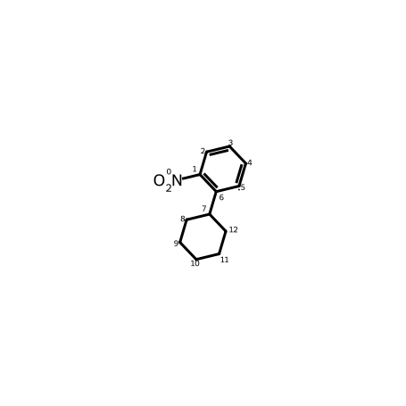 O=[N+]([O-])c1ccc[c]c1C1CCCCC1